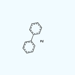 [Pd].c1ccc(-c2ccccc2)cc1